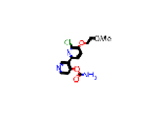 COCCOc1ccc(-c2cnccc2OC(N)=O)nc1Cl